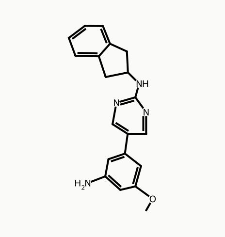 COc1cc(N)cc(-c2cnc(NC3Cc4ccccc4C3)nc2)c1